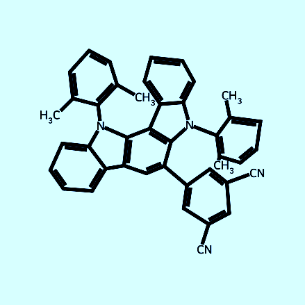 Cc1cccc(C)c1-n1c2ccccc2c2c1c(-c1cc(C#N)cc(C#N)c1)cc1c3ccccc3n(-c3c(C)cccc3C)c12